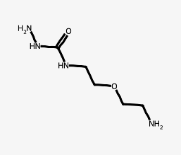 NCCOCCNC(=O)NN